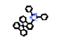 C1=CCC(c2nc(-c3ccccc3)nc(-c3cccc4c3-c3ccccc3C43c4ccccc4-c4ccccc43)n2)C=C1